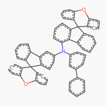 c1ccc(-c2cccc(N(c3ccc4c(c3)-c3ccccc3C43c4ccccc4Oc4ccccc43)c3cccc4c3-c3ccccc3C43c4ccccc4Oc4ccccc43)c2)cc1